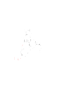 C=c1ccc2c(c1)Oc1cc(O)ccc1C=2c1ccccc1S(=O)(=O)O